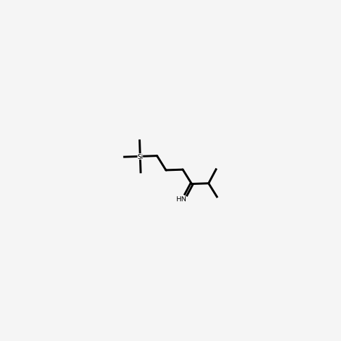 CC(C)C(=N)CCC[Si](C)(C)C